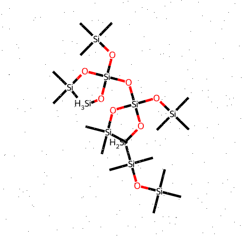 C[Si](C)(C)O[Si](O[SiH3])(O[Si](C)(C)C)O[Si](O[SiH2][Si](C)(C)O[Si](C)(C)C)(O[Si](C)(C)C)O[Si](C)(C)C